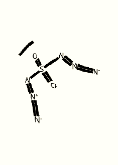 CC.[N-]=[N+]=NS(=O)(=O)N=[N+]=[N-]